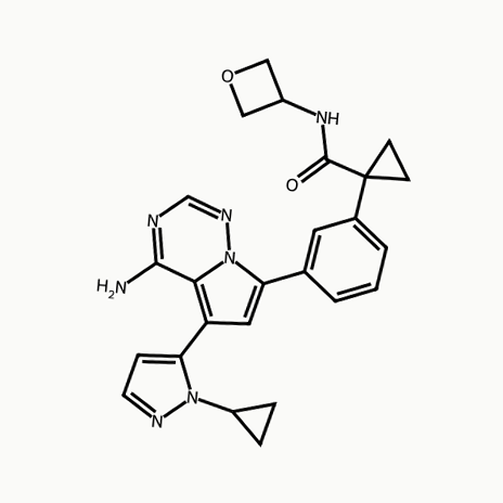 Nc1ncnn2c(-c3cccc(C4(C(=O)NC5COC5)CC4)c3)cc(-c3ccnn3C3CC3)c12